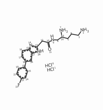 Cl.Cl.NCCC[C@H](N)CNC(=O)Cc1nc2ccc(-c3ccc(F)cc3)cc2[nH]1